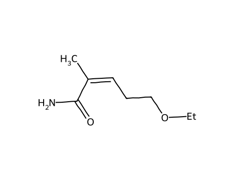 CCOCCC=C(C)C(N)=O